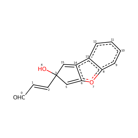 O=CC=CC1(O)C=c2oc3ccccc3c2=C1